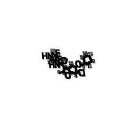 Cc1oc2cc(Cl)c(OCc3ccccc3)cc2c1C(=O)NC1CNCC1(F)F